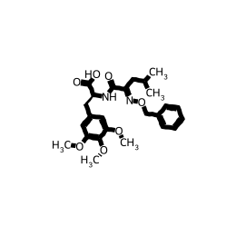 COc1cc(C[C@H](NC(=O)C(CC(C)C)=NOCc2ccccc2)C(=O)O)cc(OC)c1OC